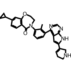 Cc1c(-c2ncnc3[nH]c(C4=CCCNC4)cc23)cccc1N1CCOc2cc(C3CC3)ccc2C1=O